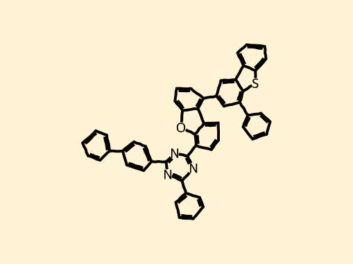 c1ccc(-c2ccc(-c3nc(-c4ccccc4)nc(-c4cccc5c4oc4cccc(-c6cc(-c7ccccc7)c7sc8ccccc8c7c6)c45)n3)cc2)cc1